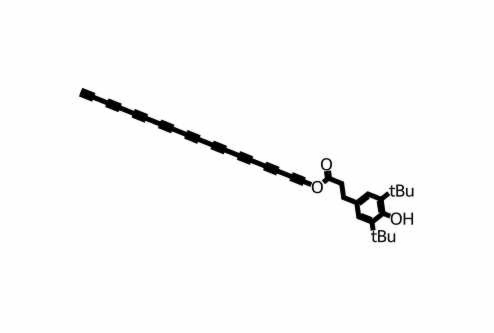 C#CC#CC#CC#CC#CC#CC#CC#CC#COC(=O)CCc1cc(C(C)(C)C)c(O)c(C(C)(C)C)c1